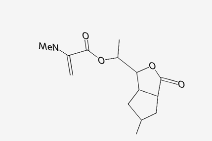 C=C(NC)C(=O)OC(C)C1OC(=O)C2CC(C)CC21